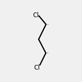 Cl[CH]C[CH]Cl